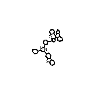 C1=CC2c3ccccc3C3(c4ccccc4Oc4c(-c5cccc(-c6nc(-c7ccccc7)cc(-c7ccc8c(c7)sc7ccccc78)n6)c5)cccc43)C2C=C1